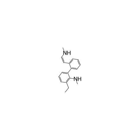 CCc1cccc(-c2ccccc2/C=C\NC)c1NC